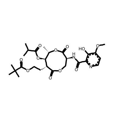 COc1ccnc(C(=O)N[C@H]2COC(=O)[C@H](CCOC(=O)C(C)(C)C)[C@@H](OC(=O)C(C)C)[C@H](C)OC2=O)c1O